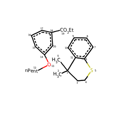 CC1(C)CCSc2ccccc21.CCCCCOc1cccc(C(=O)OCC)c1